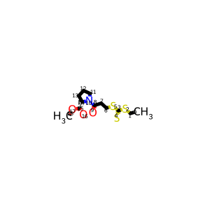 CCSC(=S)SCCC(=O)N1CCC[C@H]1C(=O)OC